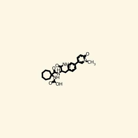 Cn1cc(-c2ccc(CC(NC(=O)C3(NC(=O)O)CCCCCC3)C(N)=O)cc2)ccc1=O